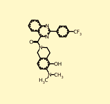 CN(C)c1ccc2c(c1O)CCN(C(=O)c1nc(-c3ccc(C(F)(F)F)cc3)nc3ccccc13)C2